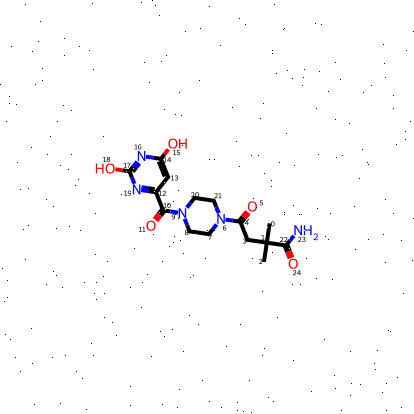 CC(C)(CC(=O)N1CCN(C(=O)c2cc(O)nc(O)n2)CC1)C(N)=O